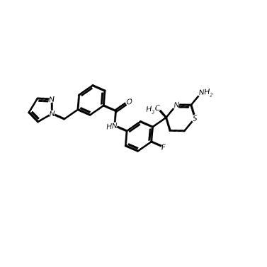 CC1(c2cc(NC(=O)c3cccc(Cn4cccn4)c3)ccc2F)CCSC(N)=N1